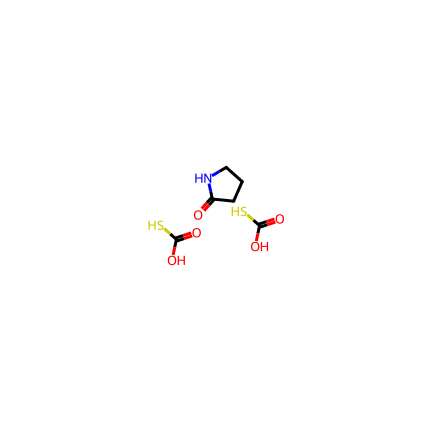 O=C(O)S.O=C(O)S.O=C1CCCN1